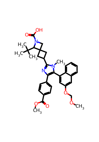 COCOc1cc(-c2c(-c3ccc(C(=O)OC)cc3)nc(C3CC4(C3)CN(C(=O)O)C4C(C)(C)C)n2C)c2ccccc2c1